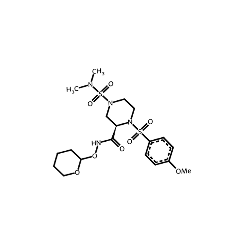 COc1ccc(S(=O)(=O)N2CCN(S(=O)(=O)N(C)C)C[C@@H]2C(=O)NOC2CCCCO2)cc1